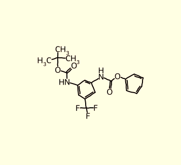 CC(C)(C)OC(=O)Nc1cc(NC(=O)Oc2ccccc2)cc(C(F)(F)F)c1